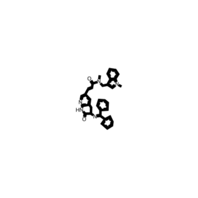 CN(Cc1cn(C)c2ccccc12)C(=O)C=Cc1cnc2c(c1)CC(N=C(c1ccccc1)c1ccccc1)C(=O)N2